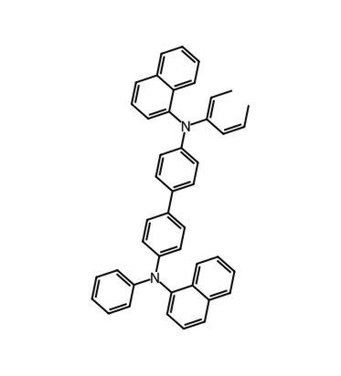 C/C=C\C(=C/C)N(c1ccc(-c2ccc(N(c3ccccc3)c3cccc4ccccc34)cc2)cc1)c1cccc2ccccc12